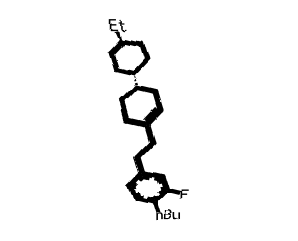 CCCCc1ccc(CCC2=CCC([C@H]3CC[C@H](CC)CC3)CC2)cc1F